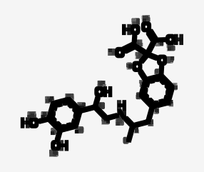 CC(Cc1ccc2c(c1)OC(C(=O)O)(C(=O)O)O2)NCC(O)c1ccc(O)c(O)c1